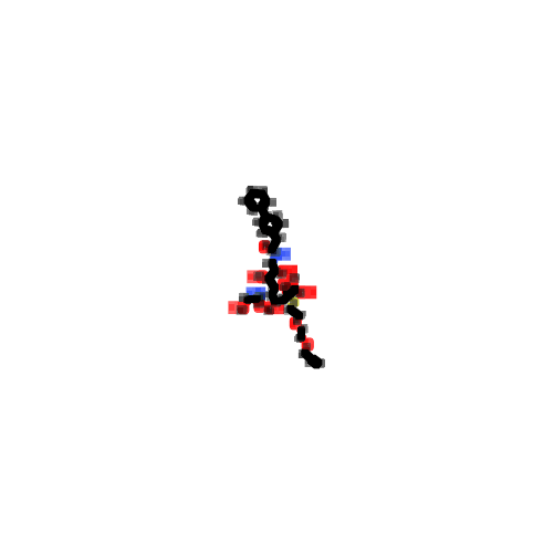 C#CCOCCOCCS[C@@]1(C(=O)O)C[C@@H](O)[C@H](NC(=O)CO)[C@@H]([C@@H](O)[C@@H](O)CNC(=O)Cc2ccc(-c3ccccc3)cc2)O1